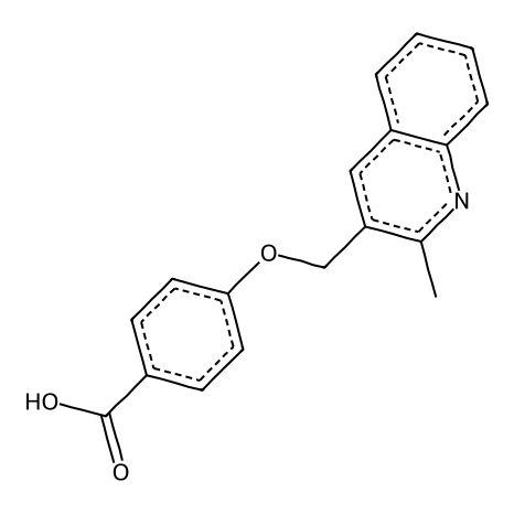 Cc1nc2ccccc2cc1COc1ccc(C(=O)O)cc1